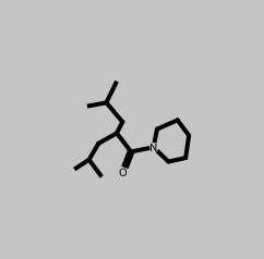 CC(C)CC(CC(C)C)C(=O)N1CCCCC1